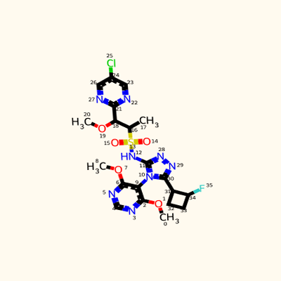 COc1ncnc(OC)c1-n1c(NS(=O)(=O)C(C)C(OC)c2ncc(Cl)cn2)nnc1C1CCC1F